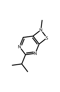 CC(C)c1ncc2c(n1)sn2C